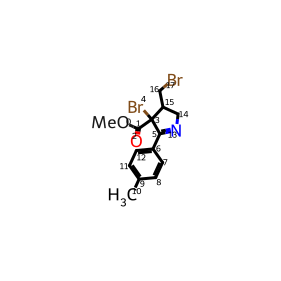 COC(=O)C1(Br)C(c2ccc(C)cc2)=NCC1CBr